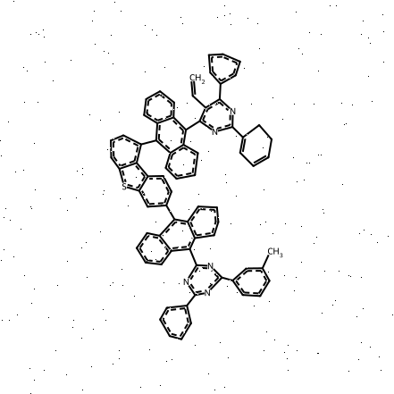 C=Cc1c(-c2ccccc2)nc(C2=CC=CCC2)nc1-c1c2ccccc2c(-c2cccc3sc4cc(-c5c6ccccc6c(-c6nc(-c7ccccc7)nc(-c7cccc(C)c7)n6)c6ccccc56)ccc4c23)c2ccccc12